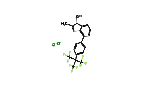 CC1=Cc2c(-c3ccc(C(C(F)(F)F)(C(F)(F)F)C(F)(F)F)cc3)cccc2[CH]1[Zr+2].[Cl-].[Cl-]